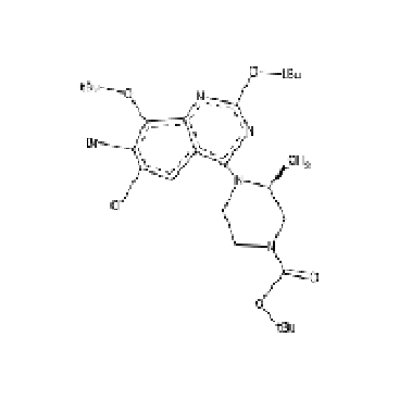 C[C@H]1CN(C(=O)OC(C)(C)C)CCN1c1nc(OC(C)(C)C)nc2c(OC(C)(C)C)c(Br)c(Cl)cc12